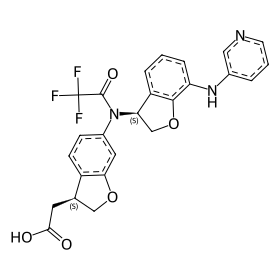 O=C(O)C[C@@H]1COc2cc(N(C(=O)C(F)(F)F)[C@@H]3COc4c(Nc5cccnc5)cccc43)ccc21